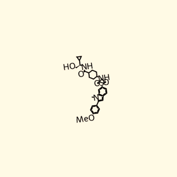 COc1ccc(-c2cc3ccc(S(=O)(=O)NC4CCC(C(=O)N[C@@H](CO)C5CC5)CC4)cc3n2C)cc1